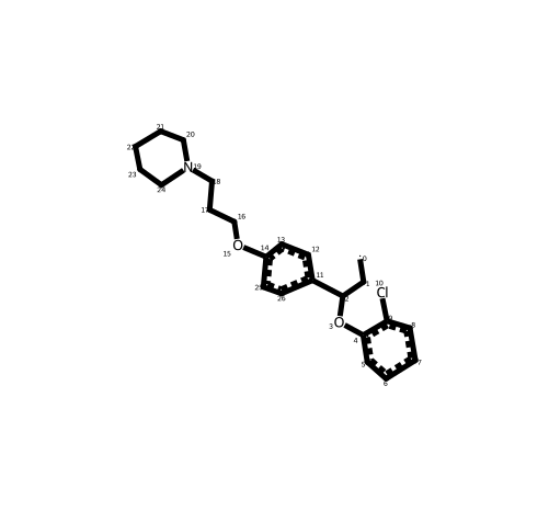 [CH2]CC(Oc1ccccc1Cl)c1ccc(OCCCN2CCCCC2)cc1